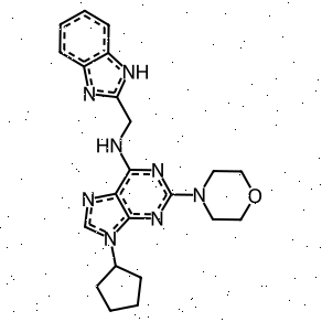 c1ccc2[nH]c(CNc3nc(N4CCOCC4)nc4c3ncn4C3CCCC3)nc2c1